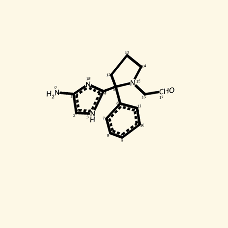 Nc1c[nH]c(C2(c3ccccc3)CCCN2CC=O)n1